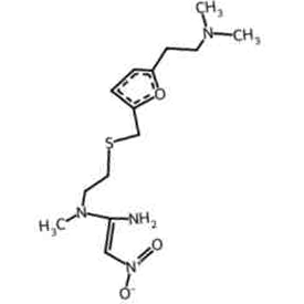 CN(C)CCc1ccc(CSCCN(C)C(N)=C[N+](=O)[O-])o1